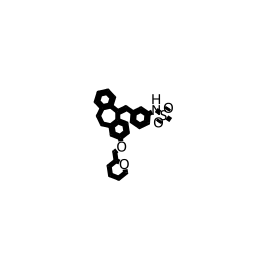 CS(=O)(=O)Nc1cccc(C=C2c3ccccc3CCc3cc(OCC4CCCCO4)ccc32)c1